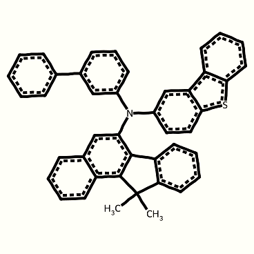 CC1(C)c2ccccc2-c2c(N(c3cccc(-c4ccccc4)c3)c3ccc4sc5ccccc5c4c3)cc3ccccc3c21